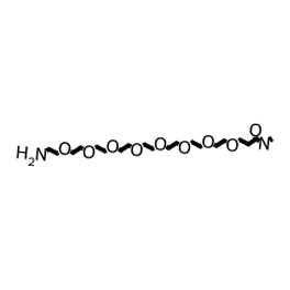 C=NC(=O)CCOCCOCCOCCOCCOCCOCCOCCOCCN